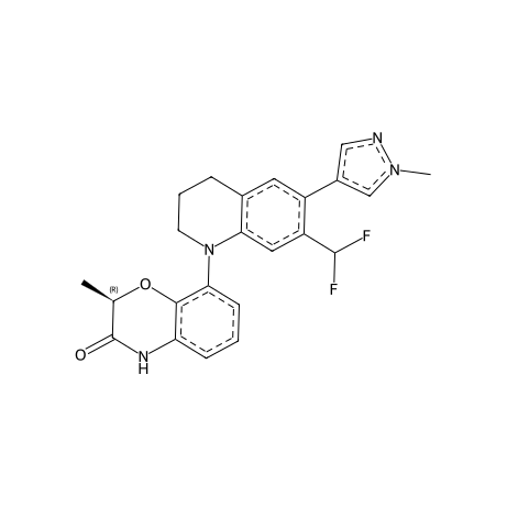 C[C@H]1Oc2c(cccc2N2CCCc3cc(-c4cnn(C)c4)c(C(F)F)cc32)NC1=O